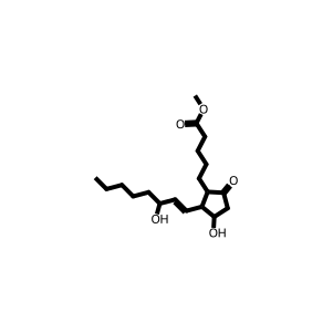 CCCCCC(O)C=CC1C(O)CC(=O)C1CCCCC(=O)OC